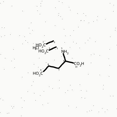 CC(=O)O.CC(=O)O.Cl.NC(CCC(=O)O)C(=O)O